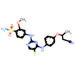 COc1cc(Nc2ncc(F)c(Nc3ccc(OC(C)CC#N)cc3)n2)ccc1S(N)(=O)=O